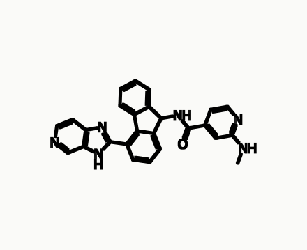 CNc1cc(C(=O)NC2c3ccccc3-c3c(-c4nc5ccncc5[nH]4)cccc32)ccn1